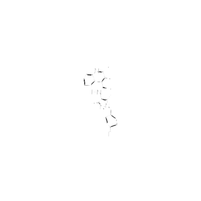 Cc1nn(Cc2ccc(F)cc2)c(C)c1NC(=O)c1c(C)c(O)nc2ccccc12